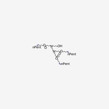 CCCCC/C=C\CCCOC(=O)CCCN(CCCCO)CCCN(CCCC(=O)OCCC/C=C\CCCCC)CCCC(=O)OCCC/C=C\CCCCC